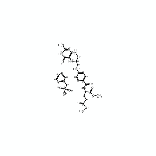 COC(=O)CCC(NC(=O)c1ccc(NCC2CNc3nc(N)[nH]c(=O)c3N2)cc1)C(=O)OC.O=S(=O)(O)Cc1ccccc1